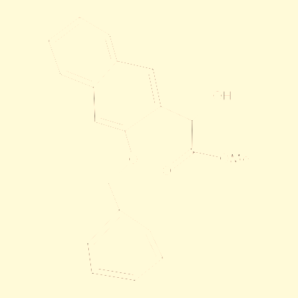 COC(=O)C(O)c1cc2ccccc2cc1OCc1ccccc1